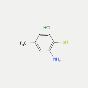 Cl.Nc1cc(C(F)(F)F)ccc1S